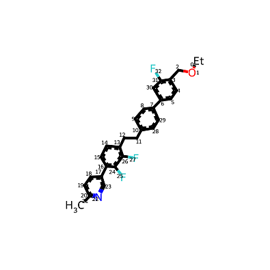 CCOCc1ccc(-c2ccc(CCc3ccc(-c4ccc(C)nc4)c(F)c3F)cc2)cc1F